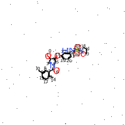 COC1CN(C(=O)c2cc(C)ccc2C)CC1Oc1cccc(NS(=O)(=O)N2CCCO2)c1